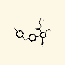 CCOC(=O)c1c(-c2ccc(Oc3ccc(F)cc3)cc2)c(C#N)cn1C